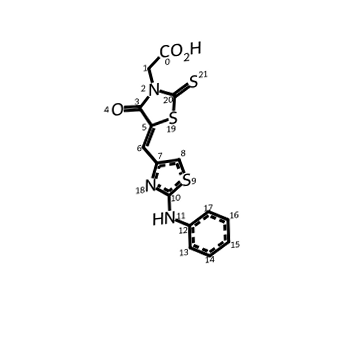 O=C(O)CN1C(=O)C(=Cc2csc(Nc3ccccc3)n2)SC1=S